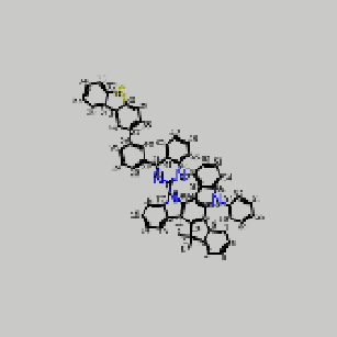 CC1(C)c2ccccc2-c2c1c1c3ccccc3n(-c3nc(-c4cccc(-c5ccc6sc7ccccc7c6c5)c4)c4ccccc4n3)c1c1c3ccccc3n(-c3ccccc3)c21